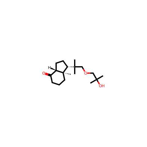 CC(C)(O)COCC(C)(C)[C@H]1CC[C@H]2C(=O)CCC[C@]12C